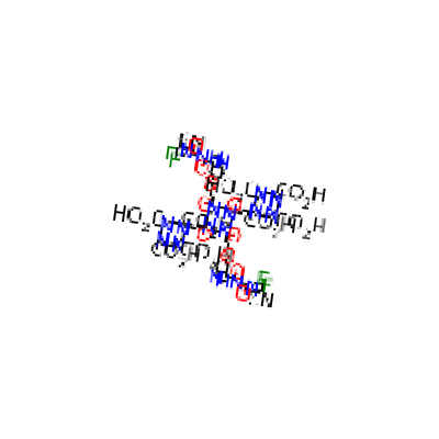 N#C[C@@H]1CC(F)(F)CN1C(=O)CNC(=O)c1ccnc2ccc(OCCCC(=O)N3CCN(C(=O)CCC(C(=O)O)N4CCN(CC(=O)O)CCN(CC(=O)O)CCN(CC(=O)O)CC4)CCN(C(=O)CCCOc4ccc5nccc(C(=O)NCC(=O)N6CC(F)(F)C[C@H]6C#N)c5c4)CCN(C(=O)CCC(C(=O)O)N4CCN(CC(=O)O)CCN(CC(=O)O)CCN(CC(=O)O)CC4)CC3)cc12